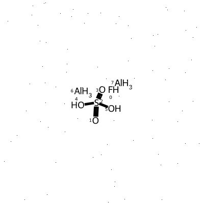 F.O=S(=O)(O)O.[AlH3].[AlH3]